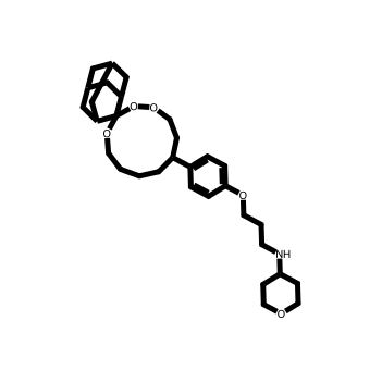 c1cc(C2CCCCOC3(OOCC2)C2CC4CC(C2)CC3C4)ccc1OCCCNC1CCOCC1